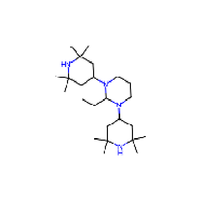 CCC1N(C2CC(C)(C)NC(C)(C)C2)CCCN1C1CC(C)(C)NC(C)(C)C1